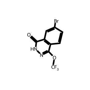 O=c1[nH]nc(OC(F)(F)F)c2ccc(Br)cc12